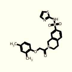 Cc1ccc(OCC(=O)N2CCc3ccc(S(=O)(=O)Nc4nccs4)cc3C2)c(C)c1